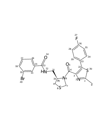 Cc1nc(C(=O)N2CSC[C@H]2CNC(=O)c2cccc(Br)c2)c(-c2ccc(F)cc2)s1